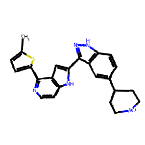 Cc1ccc(-c2nccc3[nH]c(-c4n[nH]c5ccc(C6CCNCC6)cc45)cc23)s1